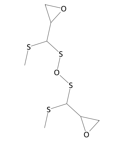 CSC(SOSC(SC)C1CO1)C1CO1